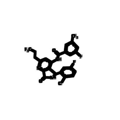 O=C(Nc1cc(CCC(F)(F)F)nc2c1C(c1cc(F)ccc1Cl)NC2=O)c1cc(F)cc(C(F)(F)F)c1